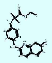 CCOC(=O)C(C)(C)Oc1ccc(Oc2ccc3ccc(Br)cc3n2)cc1